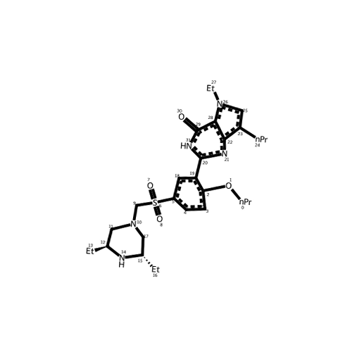 CCCOc1ccc(S(=O)(=O)CN2C[C@H](CC)N[C@@H](CC)C2)cc1-c1nc2c(CCC)cn(CC)c2c(=O)[nH]1